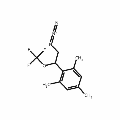 Cc1cc(C)c(C(CN=[N+]=[N-])OC(F)(F)F)c(C)c1